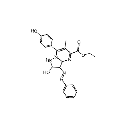 CCOC(=O)C1=NC2C(N=Nc3ccccc3)C(O)NN2C(c2ccc(O)cc2)=C1C